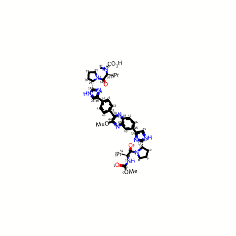 COC(=O)N[C@H](C(=O)N1CCC[C@H]1c1nc(-c2ccc3nc(-c4ccc(-c5c[nH]c([C@@H]6CCCN6C(=O)[C@H](C(C)C)N(C)C(=O)O)n5)cc4)c(OC)nc3c2)c[nH]1)C(C)C